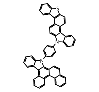 c1ccc2c(c1)ccc1c2c2ccccc2c2c3ccccc3n(-c3ccc(-n4c5ccccc5c5c6ccc7sc8ccccc8c7c6ccc54)cc3)c12